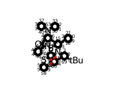 CC(C)(C)c1ccc(N2c3cc4c(cc3B3c5c(cc(-c6ccccc6)cc52)-c2cc(N(c5ccccc5)c5ccccc5)cc5c6oc7ccccc7c6n3c25)Sc2ccccc2S4)c(-c2ccccc2)c1